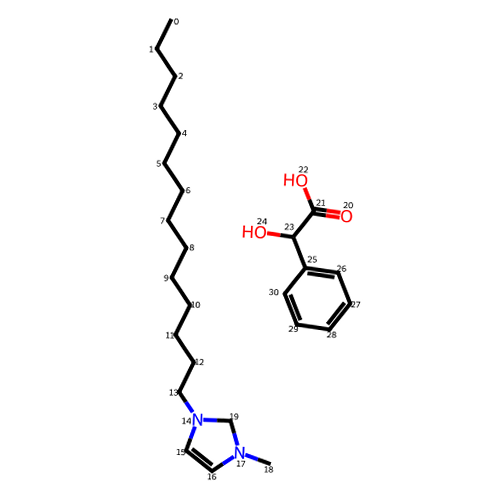 CCCCCCCCCCCCCCN1C=CN(C)C1.O=C(O)C(O)c1ccccc1